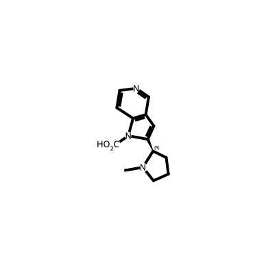 CN1CCC[C@@H]1c1cc2cnccc2n1C(=O)O